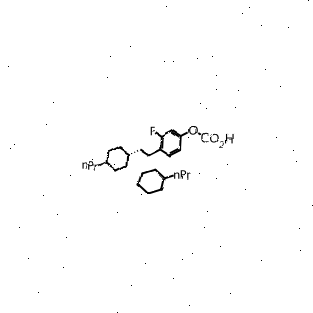 CCCC1CCCCC1.CCC[C@H]1CC[C@H](CCc2ccc(OC(=O)O)cc2F)CC1